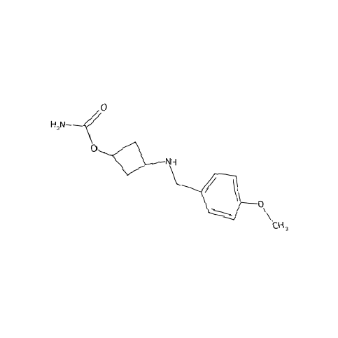 COc1ccc(CNC2CC(OC(N)=O)C2)cc1